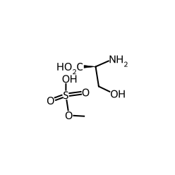 COS(=O)(=O)O.N[C@@H](CO)C(=O)O